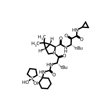 CCCC[C@H](NC(=O)[C@@H]1[C@@H]2[C@H](CN1C(=O)[C@@H](NC(=O)NC1([C@H]3CCCS3(O)O)CCCCC1)C(C)(C)C)C2(C)C)C(=O)C(=O)NC1CC1